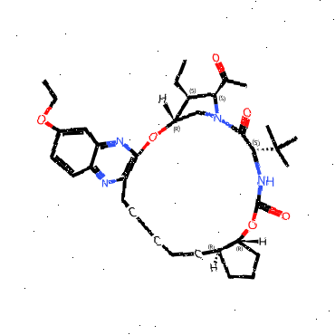 CCOc1ccc2nc3c(nc2c1)O[C@H]1CN(C(=O)[C@H](C(C)(C)C)NC(=O)O[C@@H]2CCC[C@H]2CCCCC3)[C@H](C(C)=O)[C@@H]1CC